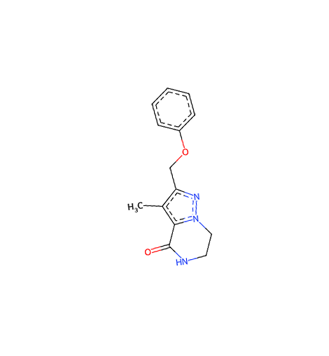 Cc1c(COc2ccccc2)nn2c1C(=O)NCC2